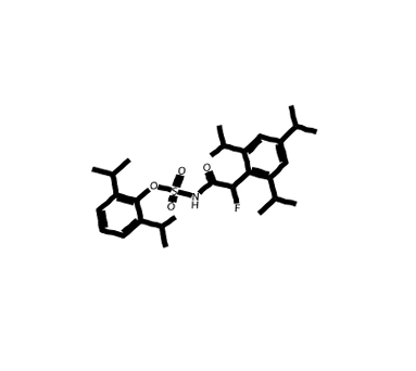 CC(C)c1cc(C(C)C)c(C(F)C(=O)NS(=O)(=O)Oc2c(C(C)C)cccc2C(C)C)c(C(C)C)c1